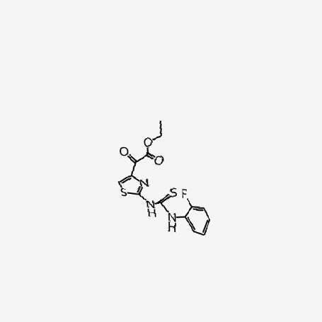 CCOC(=O)C(=O)c1csc(NC(=S)Nc2ccccc2F)n1